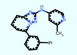 Cc1cc(Nc2nc3cccc(-c4cccc(C(C)C)c4)n3n2)ccn1